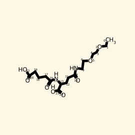 CCOCCOCCNC(=O)CCC(NC(=O)CCCC(=O)O)C(=O)O